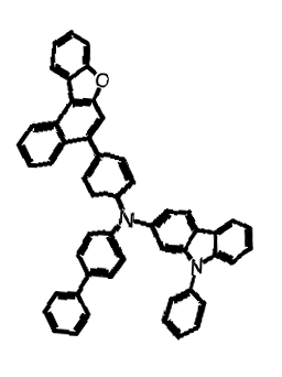 C1=CC(N(c2ccc(-c3ccccc3)cc2)c2ccc3c4ccccc4n(-c4ccccc4)c3c2)CC=C1c1cc2oc3ccccc3c2c2ccccc12